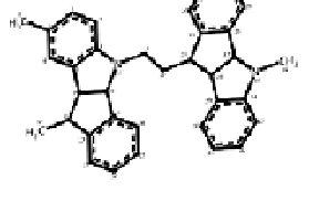 Cc1ccc2c(c1)C1C(C)c3ccccc3C1N2CCC1c2ccccc2C2C1c1ccccc1N2C